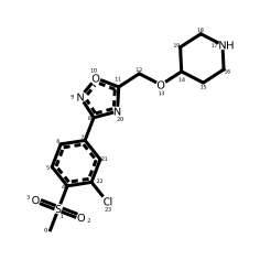 CS(=O)(=O)c1ccc(-c2noc(COC3CCNCC3)n2)cc1Cl